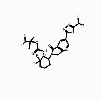 CC(C)(OC(=O)N[C@H]1C(N2Cc3ncc(-c4nnc(C(F)F)o4)cc3C2=O)CCCC1(F)F)C(F)F